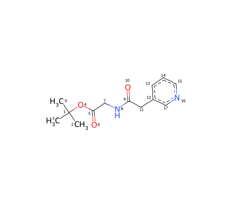 CC(C)(C)OC(=O)CNC(=O)Cc1cccnc1